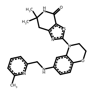 Cc1cccc(CNc2ccc3c(c2)N(c2nc4c(s2)C(=O)NC(C)(C)C4)CCO3)n1